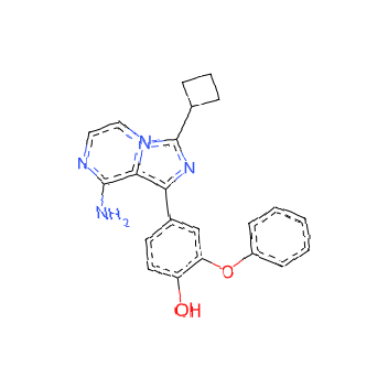 Nc1nccn2c(C3CCC3)nc(-c3ccc(O)c(Oc4ccccc4)c3)c12